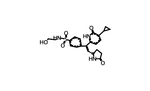 O=C1CC[C@H](C=C(c2ccc(S(=O)(=O)NCCO)cc2)c2ccc(C3CC3)c(=O)[nH]2)N1